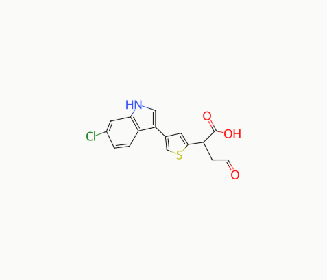 O=CCC(C(=O)O)c1cc(-c2c[nH]c3cc(Cl)ccc23)cs1